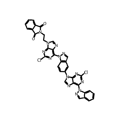 O=C1c2ccccc2C(=O)N1CCn1cnc2c(-n3ncc4cc(-n5cnc6c(-n7ncc8ccccc87)nc(Cl)nc65)ccc43)nc(Cl)nc21